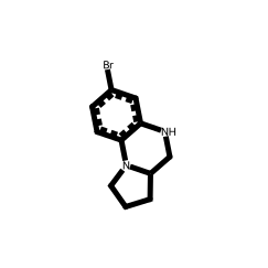 Brc1ccc2c(c1)NCC1CCCN21